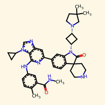 CNC(=O)c1cc(Nc2nc(-c3ccc4c(c3)N([C@H]3C[C@@H](N5CCC(C)(C)C5)C3)C(=O)C43CCNCC3)cc3ncn(C4CC4)c23)ccc1C